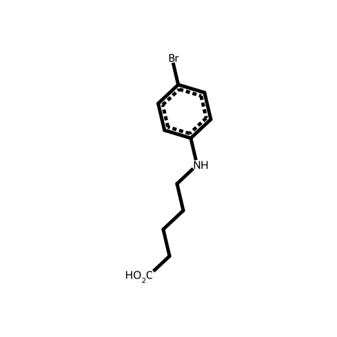 O=C(O)CCCCNc1ccc(Br)cc1